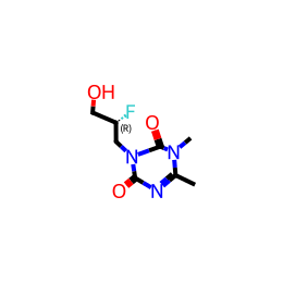 Cc1nc(=O)n(C[C@@H](F)CO)c(=O)n1C